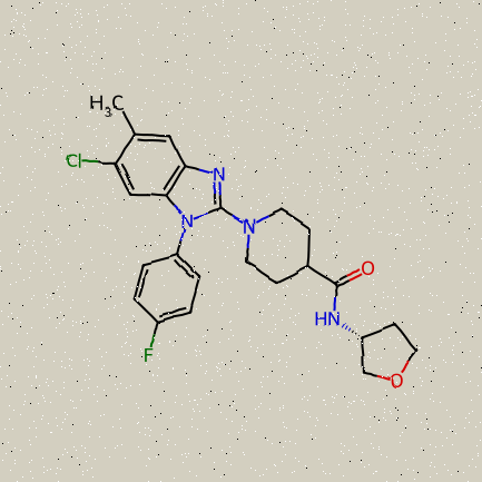 Cc1cc2nc(N3CCC(C(=O)N[C@@H]4CCOC4)CC3)n(-c3ccc(F)cc3)c2cc1Cl